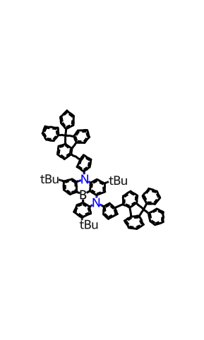 CC(C)(C)c1ccc2c(c1)N(c1cccc(-c3cccc4c3-c3ccccc3C4(c3ccccc3)c3ccccc3)c1)c1cc(C(C)(C)C)cc3c1B2c1ccc(C(C)(C)C)cc1N3c1cccc(-c2cccc3c2-c2ccccc2C3(c2ccccc2)c2ccccc2)c1